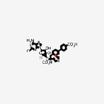 Nc1nc(Cl)nc2c1ncn2[C@@H]1O[C@@H]2C(O[C@](Cc3ccc(-c4ccc(C(=O)O)cc4)cc3)(C(=O)O)c3cscn3)[C@]2(O)[C@H]1O